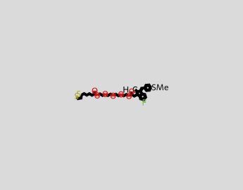 CSc1ccc(/C=C2/C(C)=C(CC(=O)OCCOCCOCCOCCOC(=O)CCCCC3CCSS3)c3cc(F)ccc32)cc1